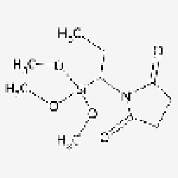 CCC(N1C(=O)CCC1=O)[Si](OC)(OC)OC